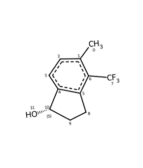 Cc1ccc2c(c1C(F)(F)F)CC[C@@H]2O